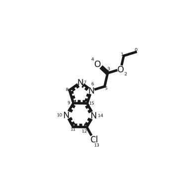 CCOC(=O)Cn1ncc2ncc(Cl)nc21